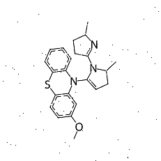 COc1ccc2c(c1)N(C1=CCC(C)N1C1=NC(C)CC1)c1ccccc1S2